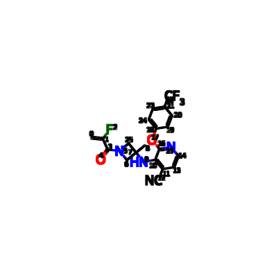 C=C(F)C(=O)N1CC(C)(Nc2c(C#N)ccnc2Oc2ccc(C(F)(F)F)cc2)C1